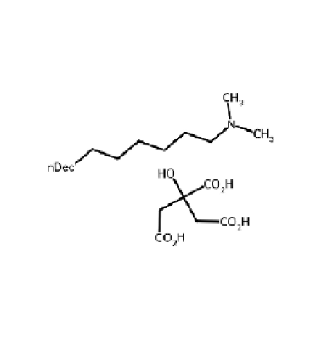 CCCCCCCCCCCCCCCCN(C)C.O=C(O)CC(O)(CC(=O)O)C(=O)O